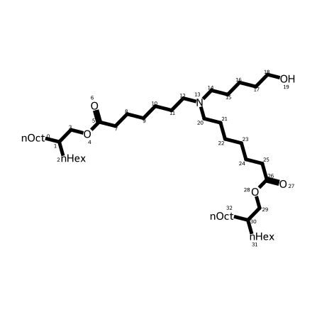 CCCCCCCCC(CCCCCC)COC(=O)CCCCCCN(CCCCCO)CCCCCCC(=O)OCC(CCCCCC)CCCCCCCC